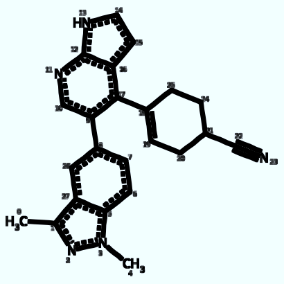 Cc1nn(C)c2ccc(-c3cnc4[nH]ccc4c3C3=CCC(C#N)CC3)cc12